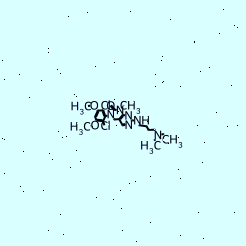 CCN(CC)CCCCNc1ncc2c(n1)N(C)C(=O)N(c1c(Cl)c(OC)cc(OC)c1Cl)C2